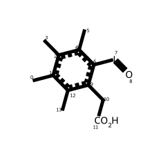 Cc1c(C)c(C)c(I=O)c(CC(=O)O)c1C